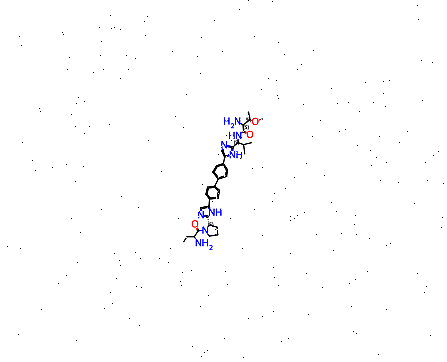 CCC(N)C(=O)N1CCC[C@H]1c1ncc(-c2ccc(-c3ccc(-c4cnc([C@@H](NC(=O)[C@@H](N)[C@@H](C)OC)C(C)C)[nH]4)cc3)cc2)[nH]1